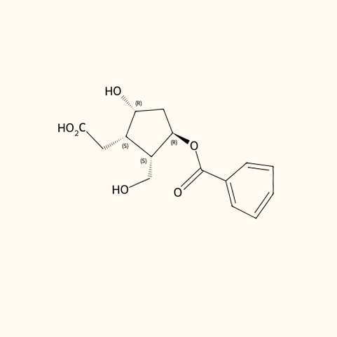 O=C(O)C[C@H]1[C@@H](CO)[C@H](OC(=O)c2ccccc2)C[C@H]1O